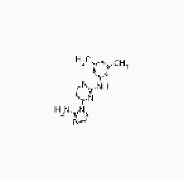 Cc1cc(C)cc(Nc2nccc(-n3ccnc3N)n2)c1